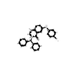 O=c1c2cc(Nc3ccc(F)cc3)ccc2ncn1C(c1ccccc1)c1ccccc1